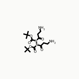 CC(C)(C)OC(=O)N(C(=O)CCN)N(C(=O)CCN)C(=O)OC(C)(C)C